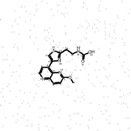 COc1ccc2nccc(-c3csc(CCNC(=O)O)n3)c2n1